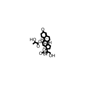 CCC(=O)O[C@]1(C(=O)CO)CC[C@H]2[C@@H]3CCC4=CC(=O)CC[C@]4(C)[C@H]3[C@@H](OC(=O)C(C)O)C[C@@]21C